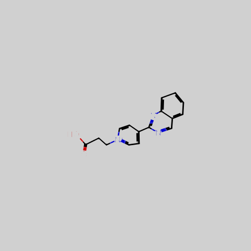 O=C(O)CC[n+]1ccc(-c2ncc3ccccc3n2)cc1